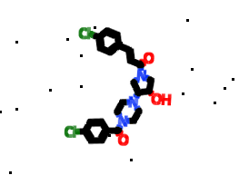 O=C(C=Cc1ccc(Cl)cc1)N1CC(O)C(N2CCN(C(=O)c3ccc(Cl)cc3)CC2)C1